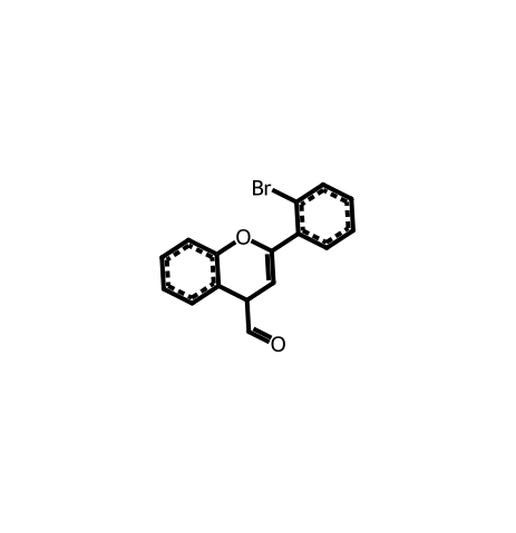 O=CC1C=C(c2ccccc2Br)Oc2ccccc21